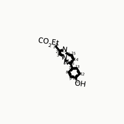 CCOC(=O)Cc1cn2nc(-c3ccc(O)cc3)ccc2n1